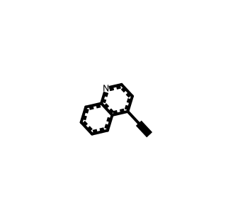 C#Cc1ccnc2ccccc12